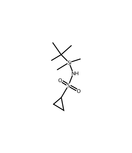 CC(C)(C)[Si](C)(C)NS(=O)(=O)C1CC1